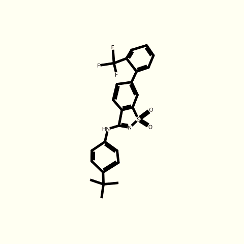 CC(C)(C)c1ccc(NC2=NS(=O)(=O)c3cc(-c4ccccc4C(F)(F)F)ccc32)cc1